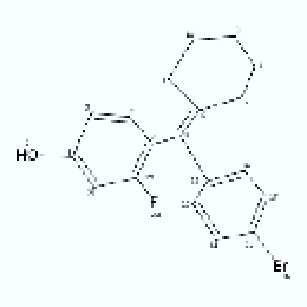 Oc1ccc(C(=C2CCCCC2)c2ccc(Br)cc2)c(F)c1